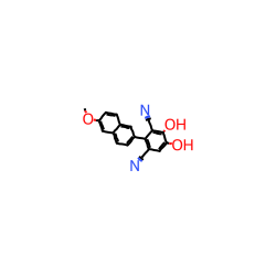 COc1ccc2cc(-c3c(C#N)cc(O)c(O)c3C#N)ccc2c1